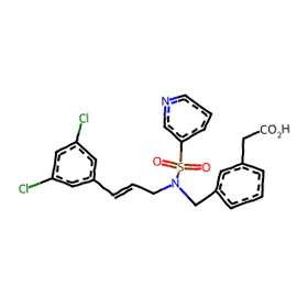 O=C(O)Cc1cccc(CN(CC=Cc2cc(Cl)cc(Cl)c2)S(=O)(=O)c2cccnc2)c1